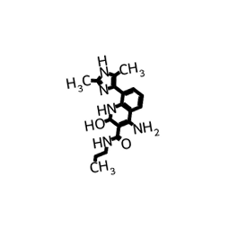 CCCNC(=O)C1=C(N)c2cccc(-c3nc(C)[nH]c3C)c2NC1O